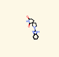 O=C1CCC2(CCN(c3nc4ccccc4[nH]3)C2)C(=O)N1